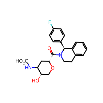 O=C(O)N[C@H]1C[C@H](C(=O)N2CCc3ccccc3[C@@H]2c2ccc(F)cc2)OC[C@@H]1O